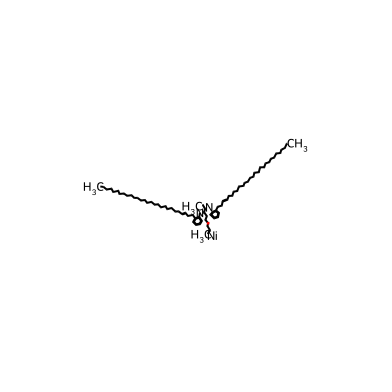 CCCCCCCCCCCCCCCCCCCCCCCC/C=C/CCc1ccccc1/N=C(CC)\C(CCCCCC)=N\c1ccccc1CC/C=C/CCCCCCCCCCCCCCCCCCCCCCCC.[Ni]